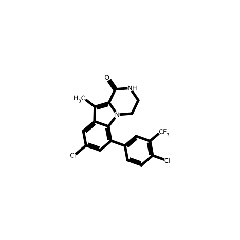 Cc1c2n(c3c(-c4ccc(Cl)c(C(F)(F)F)c4)cc(Cl)cc13)CCNC2=O